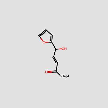 CCCCCCCC(=O)/C=C/C(O)c1ccco1